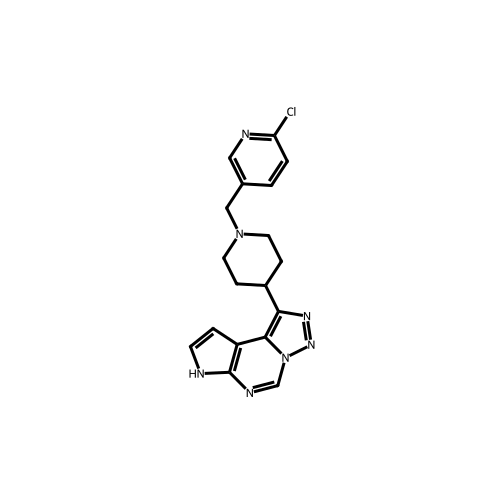 Clc1ccc(CN2CCC(c3nnn4cnc5[nH]ccc5c34)CC2)cn1